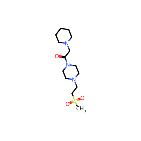 CS(=O)(=O)CCN1CCN(C(=O)CN2CCCCC2)CC1